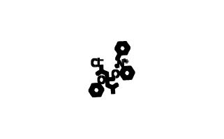 CC(C)CC(COc1ccccc1[N+](C)(C)Cc1ccccc1)(CC(C)C)Oc1ccccc1.[Cl-]